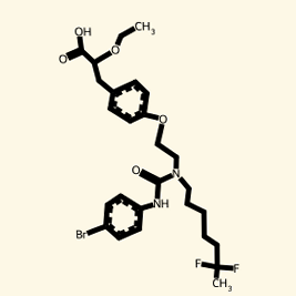 CCOC(Cc1ccc(OCCN(CCCCCC(C)(F)F)C(=O)Nc2ccc(Br)cc2)cc1)C(=O)O